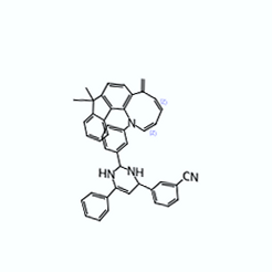 C=C1/C=C\C=C/N(c2cccc(C3NC(c4ccccc4)=CC(c4cccc(C#N)c4)N3)c2)c2c1ccc1c2-c2ccccc2C1(C)C